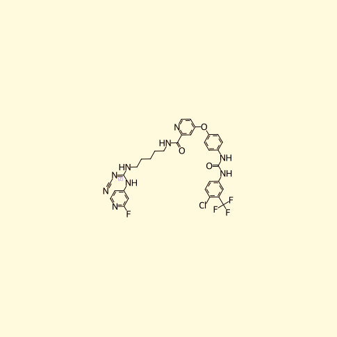 N#C/N=C(/NCCCCCNC(=O)c1cc(Oc2ccc(NC(=O)Nc3ccc(Cl)c(C(F)(F)F)c3)cc2)ccn1)Nc1ccnc(F)c1